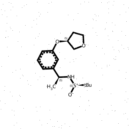 C[C@H](N[S@+]([O-])C(C)(C)C)c1cccc(O[C@H]2CCOC2)c1